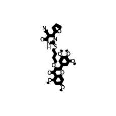 COc1cc(OC)c2c(=O)c(OCCCCSc3nc(-c4ccco4)c(C#N)c(=O)[nH]3)c(-c3cc(OC)c(OC)c(OC)c3)oc2c1